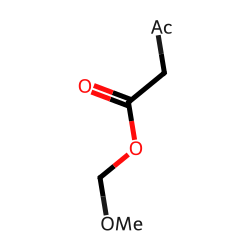 COCOC(=O)CC(C)=O